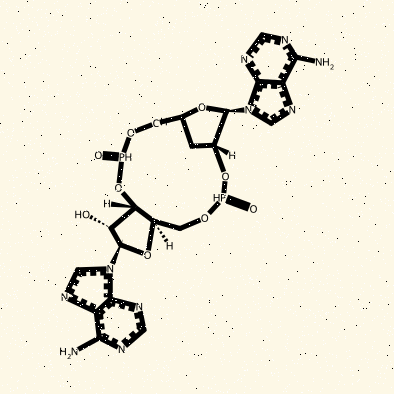 Nc1ncnc2c1ncn2[C@@H]1O[C@@H]2CO[PH](=O)O[C@@H]3C[C@@H](CO[PH](=O)O[C@H]2[C@H]1O)O[C@H]3n1cnc2c(N)ncnc21